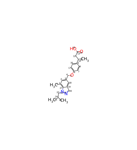 Cc1cc(COc2ccc(C(C)CC(=O)O)cc2)cc2cnn(CC(C)C)c12